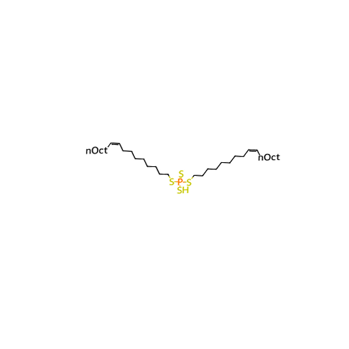 CCCCCCCC/C=C\CCCCCCCCSP(=S)(S)SCCCCCCCC/C=C\CCCCCCCC